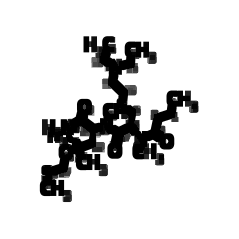 CCCC(=O)N(C)[C@H](CSCCN(CC)CC)C(=O)N(C)[C@@H](CC(C)(C)OCSC)C(N)=O